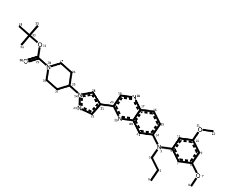 CCCN(c1cc(OC)cc(OC)c1)c1ccc2ncc(-c3cnn(C4CCN(C(=O)OC(C)(C)C)CC4)c3)nc2c1